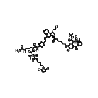 COc1cc2c(cc1OCCCCCC(=O)N1CC(CCCl)c3c1cc(OCc1ccc(NC(=O)[C@H](CCCNC(N)=O)NC(=O)[C@@H](NC(=O)CCCCCN4C(=O)C=CC4=O)C(C)C)cc1)c1ccccc31)N(C(=O)OC(C)(C)C)[C@@H](O)[C@@H]1CCCN1C2=O